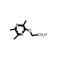 Cc1nc(C)c(OCC(=O)O)nc1C